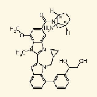 COc1cc(C(=O)N2C[C@H]3CC[C@@H]2C3N)cc2nc(-c3cc4cccc(-c5cccc(C(O)CO)c5)c4n3CC3CC3)n(C)c12